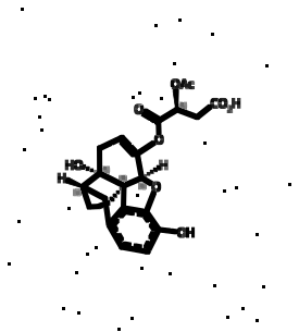 CC(=O)O[C@@H](CC(=O)O)C(=O)OC1=CC[C@]2(O)[C@H]3CCC[C@]24c2c(ccc(O)c2O[C@H]14)C3